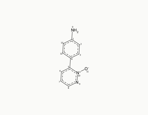 Nc1ccc(-c2cccn[n+]2[O-])cc1